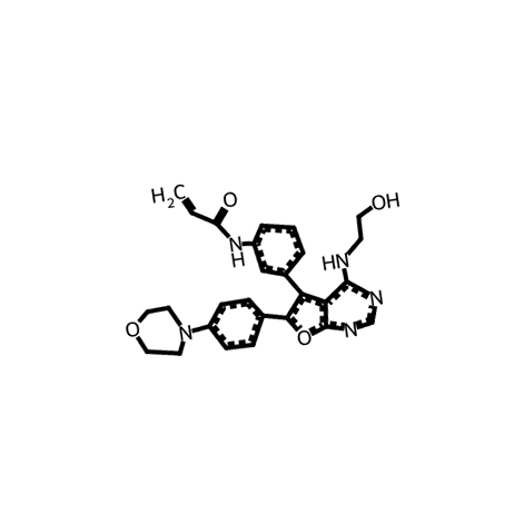 C=CC(=O)Nc1cccc(-c2c(-c3ccc(N4CCOCC4)cc3)oc3ncnc(NCCO)c23)c1